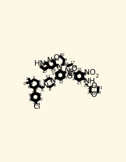 CC1(C)CCC(CN2CCN(c3ccc(N4CCOP4(=O)c4ccc(NC[C@H]5COCCO5)c([N+](=O)[O-])c4)c(N4CCCOc5nc6[nH]ccc6cc54)c3)CC2)=C(c2ccc(Cl)cc2)C1